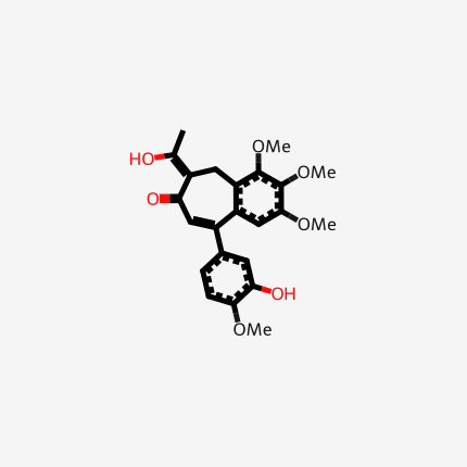 COc1ccc(C2=CC(=O)C(=C(C)O)Cc3c2cc(OC)c(OC)c3OC)cc1O